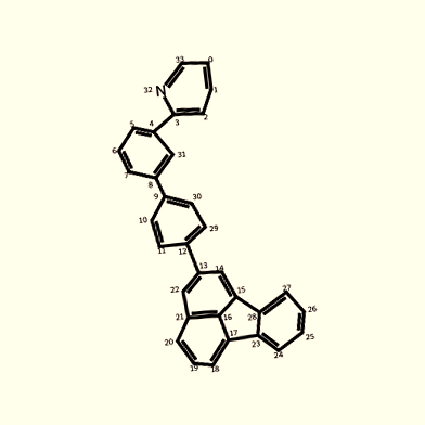 c1ccc(-c2cccc(-c3ccc(-c4cc5c6c(cccc6c4)-c4ccccc4-5)cc3)c2)nc1